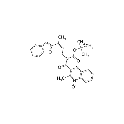 CC(=CCN(C(=O)OC(C)(C)C)C(=O)c1nc2ccccc2[n+]([O-])c1C)c1cc2ccccc2o1